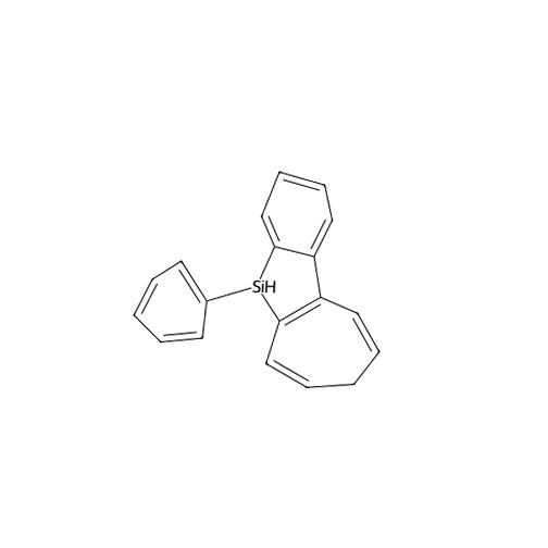 C1=CC2=C(C=CC1)[SiH](c1ccccc1)c1ccccc12